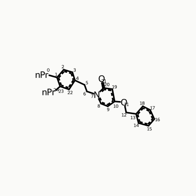 CCCc1ccc(CCn2ccc(OCc3ccccc3)cc2=O)cc1CCC